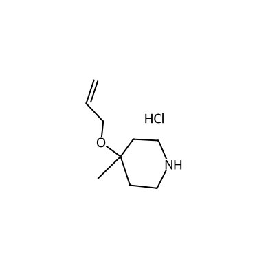 C=CCOC1(C)CCNCC1.Cl